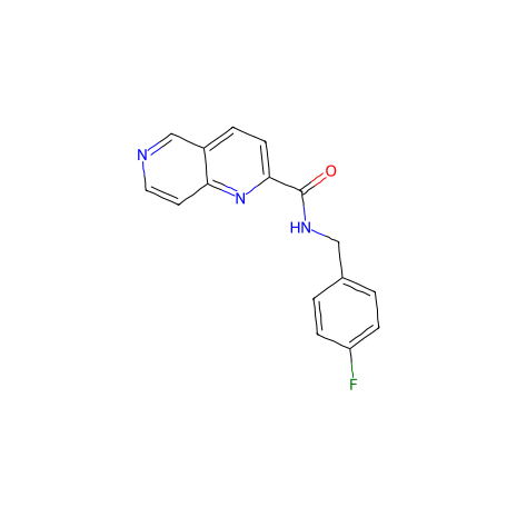 O=C(NCc1ccc(F)cc1)c1ccc2cnccc2n1